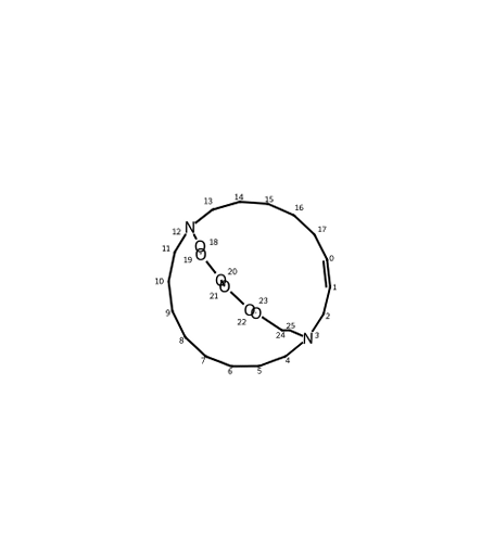 C1=CCN2CCCCCCCCN(CCCCC1)OOOOOOCC2